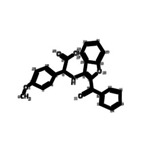 COc1ccc(C(Nc2c(C(=O)c3ccccc3)oc3ccccc23)C(=O)O)cc1